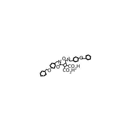 CN(Cc1ccc(OCc2ccccc2)cc1)C(=O)C1C(C(=O)O)C(C(=O)O)C1C(=O)N(C)Cc1ccc(OCc2ccccc2)cc1